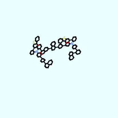 c1ccc(-c2cccc3ccccc23)c(-c2ccc(N(c3ccc(-c4ccc(-c5ccc(-c6ccc7c(-c8ccccc8N(c8ccc(-c9ccc(-c%10cccc%11ccccc%10%11)cc9)cc8)c8ccccc8-c8ccc9c(c8)sc8ccccc89)cccc7c6)c6ccccc56)cc4)cc3)c3ccccc3-c3ccc4c(c3)sc3ccccc34)cc2)c1